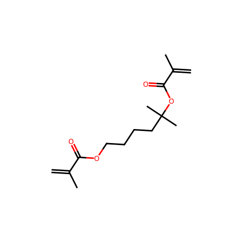 C=C(C)C(=O)OCCCCC(C)(C)OC(=O)C(=C)C